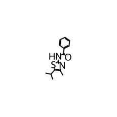 Cc1nc(NC(=O)c2ccccc2)sc1C(C)C